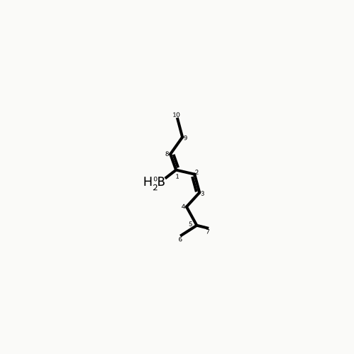 BC(/C=C\CC(C)C)=C/CC